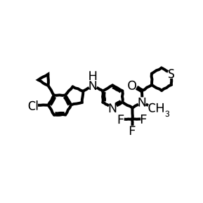 CN(C(=O)C1CCSCC1)C(c1ccc(NC2Cc3ccc(Cl)c(C4CC4)c3C2)cn1)C(F)(F)F